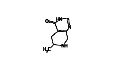 CC1Cc2c(nc[nH]c2=O)CN1